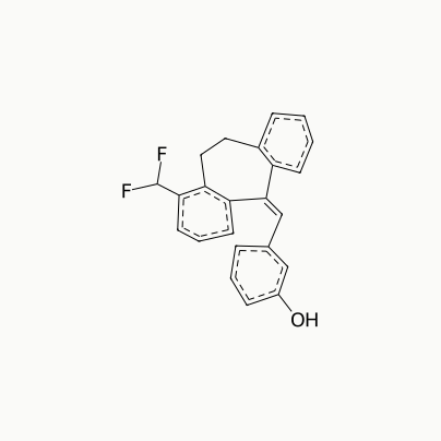 Oc1cccc(/C=C2/c3ccccc3CCc3c2cccc3C(F)F)c1